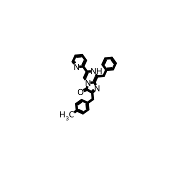 Cc1ccc(Cc2nc3c(Cc4ccccc4)[nH]c(-c4ccccn4)cn-3c2=O)cc1